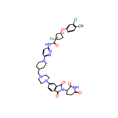 N#Cc1ccc(O[C@H]2CC[C@](F)(C(=O)Nc3ccc(N4CCC(CN5CCN(c6ccc7c(c6)C(=O)N(C6CCC(=O)NC6=O)C7=O)CC5)CC4)nn3)C2)cc1Cl